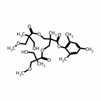 COCC(C)(CO)C(=O)OCC(C)(COC(=O)C(C)(CO)COC)C(=O)Oc1c(C)cc(C)cc1C